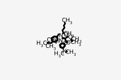 CCCCCC(C)N(Cc1ccc(CC(C)(C)C)cc1)C(Nc1ccc(N(C)C)cc1)=C1C(=O)OC(C)(C)OC1=O